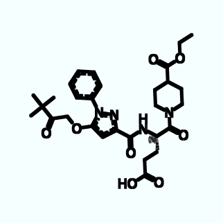 CCOC(=O)C1CCN(C(=O)[C@H](CCC(=O)O)NC(=O)c2cc(OCC(=O)C(C)(C)C)n(-c3ccccc3)n2)CC1